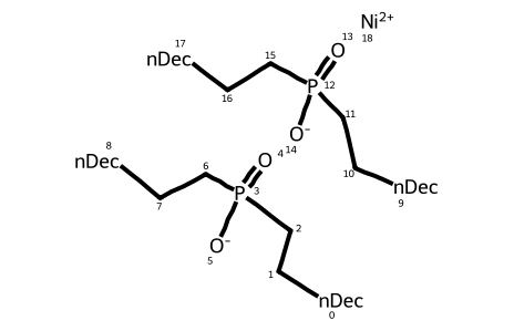 CCCCCCCCCCCCP(=O)([O-])CCCCCCCCCCCC.CCCCCCCCCCCCP(=O)([O-])CCCCCCCCCCCC.[Ni+2]